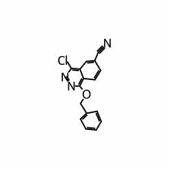 N#Cc1ccc2c(OCc3ccccc3)nnc(Cl)c2c1